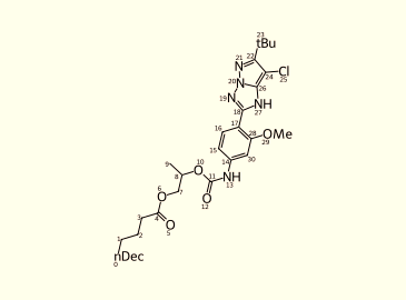 CCCCCCCCCCCCCC(=O)OCC(C)OC(=O)Nc1ccc(-c2nn3nc(C(C)(C)C)c(Cl)c3[nH]2)c(OC)c1